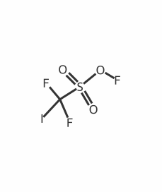 O=S(=O)(OF)C(F)(F)I